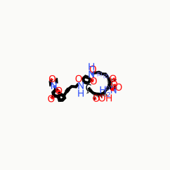 CO[C@H]1/C=C\C=C\C(=O)NC2=CC(=O)C(NCCCC#Cc3cccc4c(=O)cc(N5CCOCC5)oc34)=C(C[C@@H](C)C[C@H](OC)[C@H](O)[C@@H](C)/C=C(\C)[C@@H]1OC(N)=O)C2=O